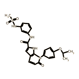 CC(C)Oc1ccc(-n2c(=O)ccc3cc(C(=O)Nc4cccc(NS(C)(=O)=O)c4)[nH]c32)cc1